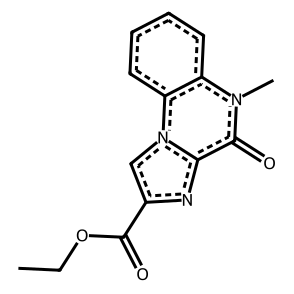 CCOC(=O)c1cn2c(n1)c(=O)n(C)c1ccccc12